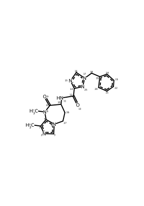 Cc1ncn2c1N(C)C(=O)C(NC(=O)c1ncn(Cc3ccccc3)n1)CC2